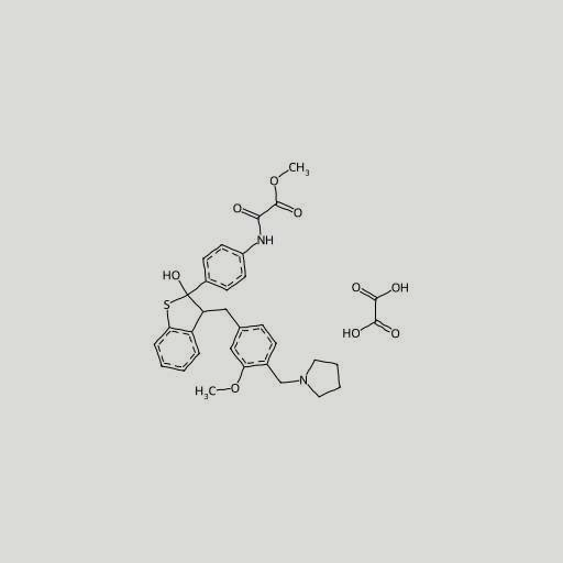 COC(=O)C(=O)Nc1ccc(C2(O)Sc3ccccc3C2Cc2ccc(CN3CCCC3)c(OC)c2)cc1.O=C(O)C(=O)O